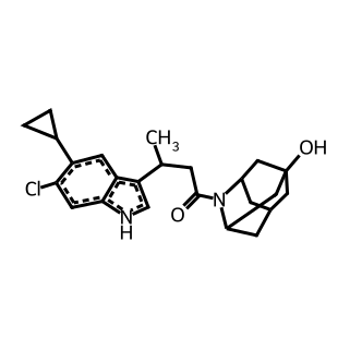 CC(CC(=O)N1C2CC3CC1CC(O)(C3)C2)c1c[nH]c2cc(Cl)c(C3CC3)cc12